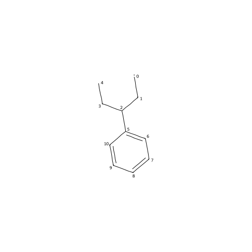 [CH2]CC(CC)c1ccccc1